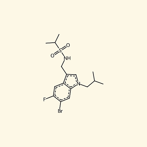 CC(C)Cn1cc(CNS(=O)(=O)C(C)C)c2cc(F)c(Br)cc21